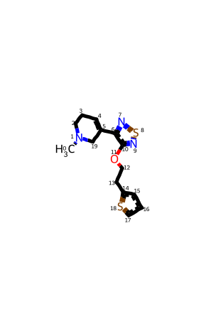 CN1CCC=C(c2nsnc2OCCc2cccs2)C1